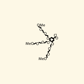 COCCOCCOCCOc1cc(C(=O)Cl)cc(OCCOCCOCCOC)c1OCCOCCOCCOC